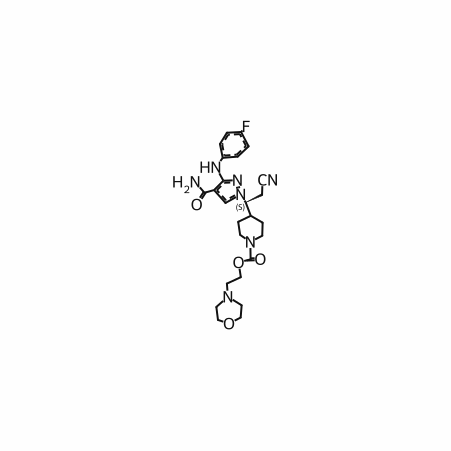 N#CC[C@@H](C1CCN(C(=O)OCCN2CCOCC2)CC1)n1cc(C(N)=O)c(Nc2ccc(F)cc2)n1